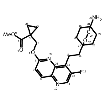 COC(=O)C1(COc2ccc3ncc(F)c(CCC45CCC(N)(CC4)CO5)c3n2)CC1